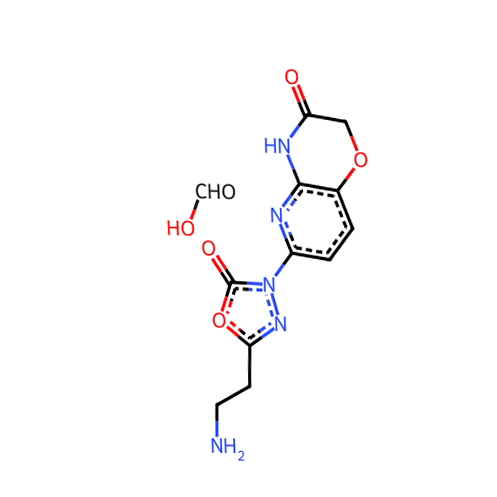 NCCc1nn(-c2ccc3c(n2)NC(=O)CO3)c(=O)o1.O=CO